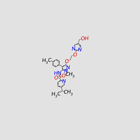 Cc1ccc(-c2c(OCCOc3ncc(CO)cn3)nn(C)c2NS(=O)(=O)c2ccc(C(C)C)cn2)cc1